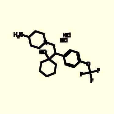 Cl.Cl.NC1CCN(CC(c2ccc(OC(F)(F)F)cc2)C2(O)CCCCC2)CC1